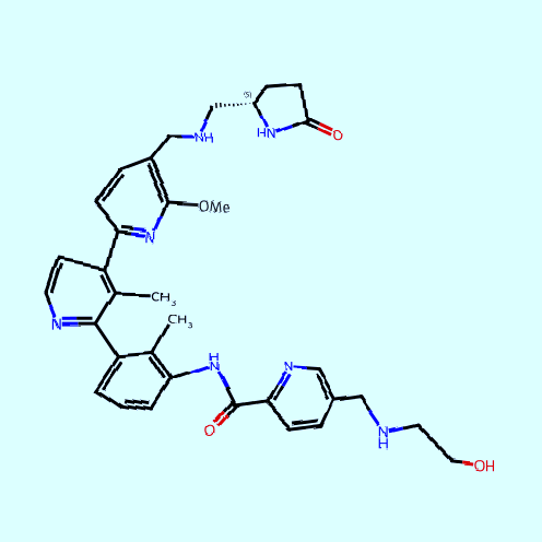 COc1nc(-c2ccnc(-c3cccc(NC(=O)c4ccc(CNCCO)cn4)c3C)c2C)ccc1CNC[C@@H]1CCC(=O)N1